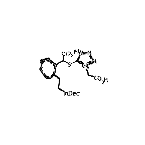 CCCCCCCCCCCCc1ccccc1C(Sc1nnnn1CC(=O)O)C(=O)O